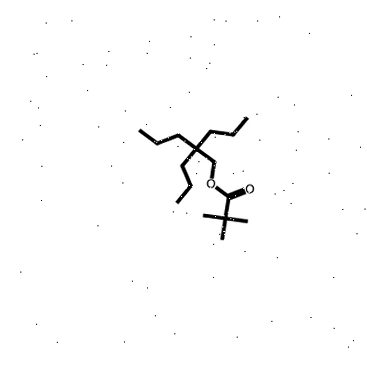 CCCC(CCC)(CCC)COC(=O)C(C)(C)C